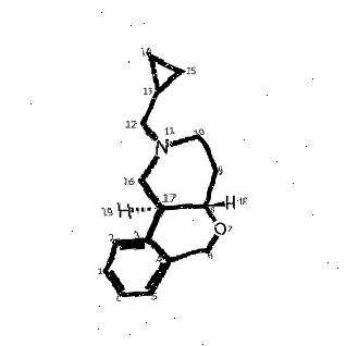 c1ccc2c(c1)CO[C@H]1CCN(CC3CC3)C[C@H]21